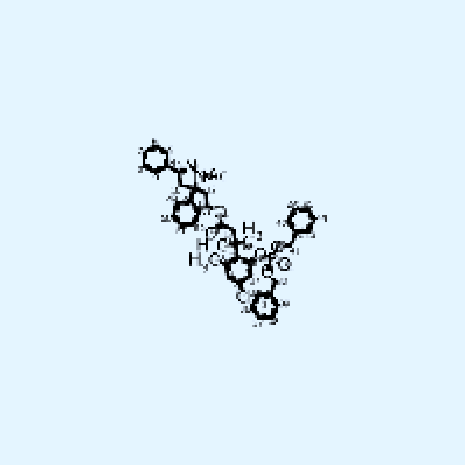 CC(=O)N1N=C(c2ccccc2)CC1(CCOC(=O)CC(C)(C)c1c(C)cc(C)cc1OP(=O)(OCc1ccccc1)OCc1ccccc1)c1ccccc1